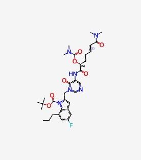 CCCc1cc(F)cc2cc(Cn3cncc(NC(=O)[C@H](CC/C=C/C(=O)N(C)C)OC(=O)N(C)C)c3=O)n(C(=O)OC(C)(C)C)c12